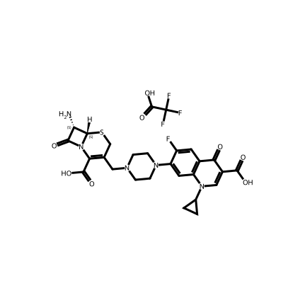 N[C@H]1C(=O)N2C(C(=O)O)=C(CN3CCN(c4cc5c(cc4F)c(=O)c(C(=O)O)cn5C4CC4)CC3)CS[C@@H]12.O=C(O)C(F)(F)F